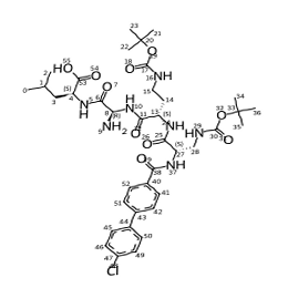 CC(C)C[C@H](NC(=O)[C@H](N)NC(=O)[C@H](CCNC(=O)OC(C)(C)C)NC(=O)[C@H](CNC(=O)OC(C)(C)C)NC(=O)c1ccc(-c2ccc(Cl)cc2)cc1)C(=O)O